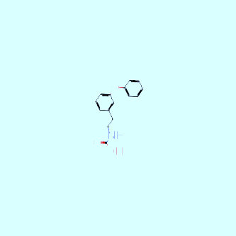 O=C(O)NCCc1cccc(Oc2ccccc2)c1